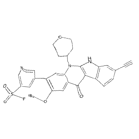 C#Cc1ccc2c(c1)[nH]c1c2c(=O)c2cc(OCCCC)c(-c3cncc(S(=O)(=O)F)c3)cc2n1C1CCOCC1